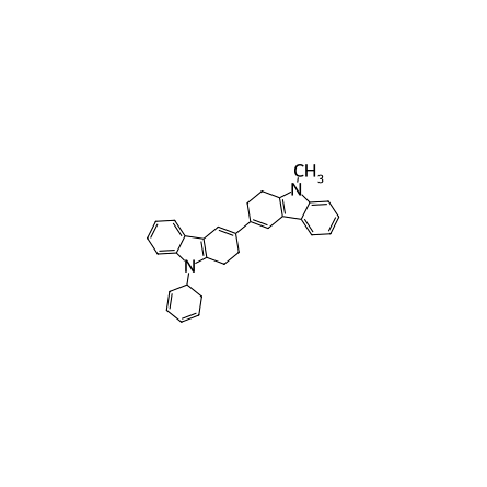 Cn1c2c(c3ccccc31)C=C(C1=Cc3c(n(C4C=CC=CC4)c4ccccc34)CC1)CC2